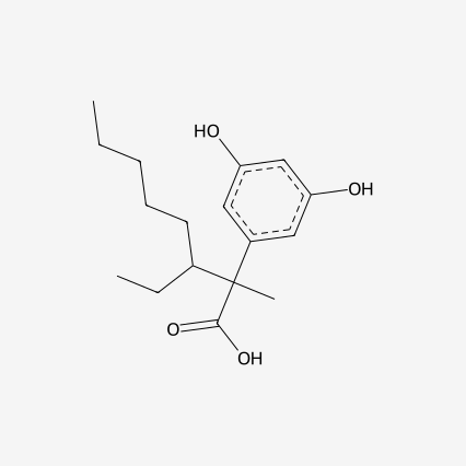 CCCCCC(CC)C(C)(C(=O)O)c1cc(O)cc(O)c1